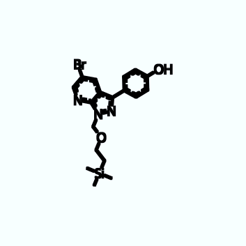 C[Si](C)(C)CCOCn1nc(-c2ccc(O)cc2)c2cc(Br)cnc21